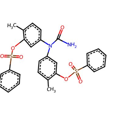 Cc1ccc(N(C(N)=O)c2ccc(C)c(OS(=O)(=O)c3ccccc3)c2)cc1OS(=O)(=O)c1ccccc1